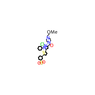 COCCN1CCN(C(=O)c2cc(-c3ccc(-c4cccc(S(C)(=O)=O)c4)s3)n(-c3ccccc3Cl)n2)CC1